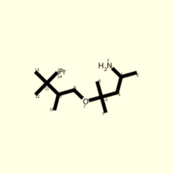 CC(N)CC(C)(C)OCC(C)C(C)(C)C(C)C